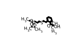 CCO[Si](CCCSCCc1ccccc1C(=O)C(C)(C)O)(OCC)OCC